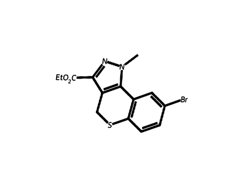 CCOC(=O)c1nn(C)c2c1CSc1ccc(Br)cc1-2